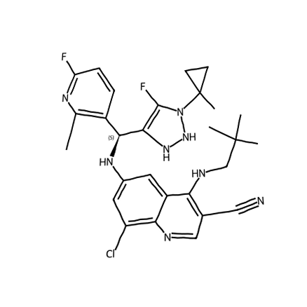 Cc1nc(F)ccc1[C@H](Nc1cc(Cl)c2ncc(C#N)c(NCC(C)(C)C)c2c1)C1=C(F)N(C2(C)CC2)NN1